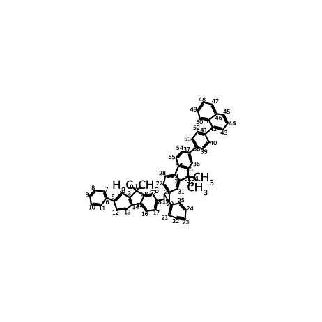 CC1(C)c2cc(-c3ccccc3)ccc2-c2ccc(N(c3ccccc3)c3ccc4c(c3)C(C)(C)c3cc(-c5ccc(-c6cccc7ccccc67)cc5)ccc3-4)cc21